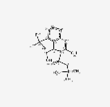 CC(C)(C)CC(=O)N(C(=O)O)C(CO)c1ccccc1C(F)(F)F